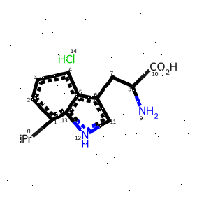 CC(C)c1cccc2c(CC(N)C(=O)O)c[nH]c12.Cl